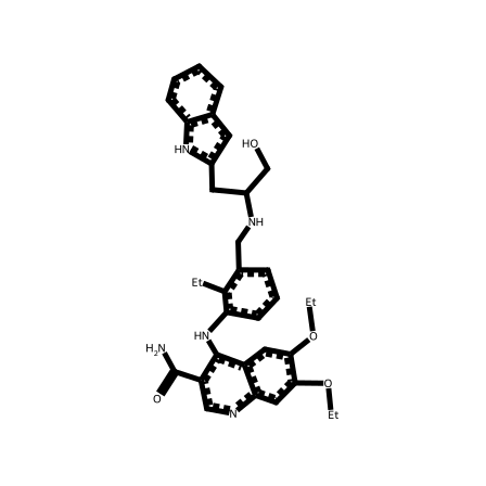 CCOc1cc2ncc(C(N)=O)c(Nc3cccc(CNC(CO)Cc4cc5ccccc5[nH]4)c3CC)c2cc1OCC